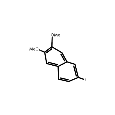 [C]c1ccc2cc(OC)c(OC)cc2c1